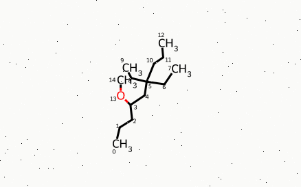 CCCC(CC(CC)(CC)CCC)OC